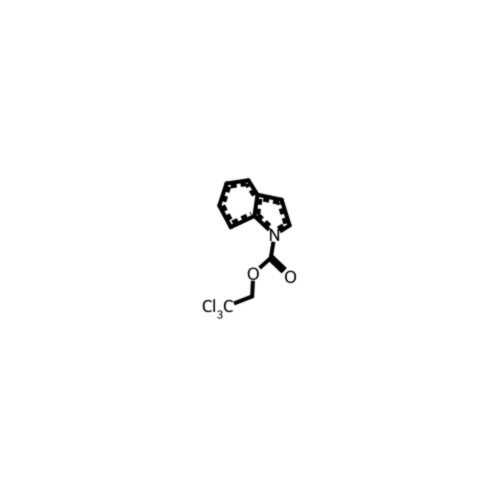 O=C(OCC(Cl)(Cl)Cl)n1ccc2ccccc21